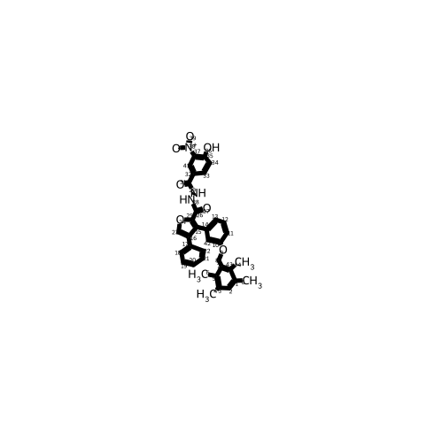 Cc1cc(C)c(C)c(COc2cccc(-c3c(-c4ccccc4)coc3C(=O)NNC(=O)c3ccc(O)c([N+](=O)[O-])c3)c2)c1C